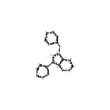 c1ccc(Cn2nc(-c3ccccc3)c3ccccc32)cc1